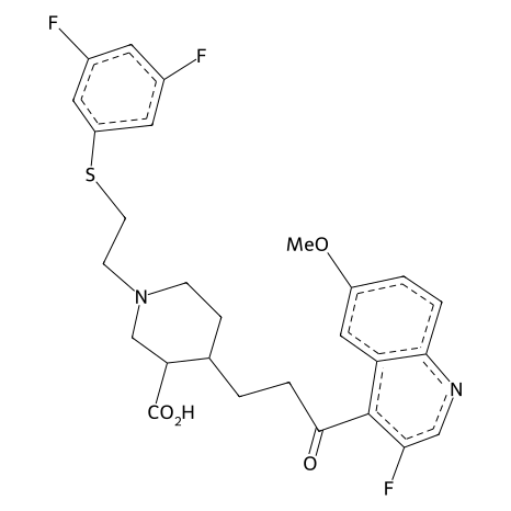 COc1ccc2ncc(F)c(C(=O)CCC3CCN(CCSc4cc(F)cc(F)c4)CC3C(=O)O)c2c1